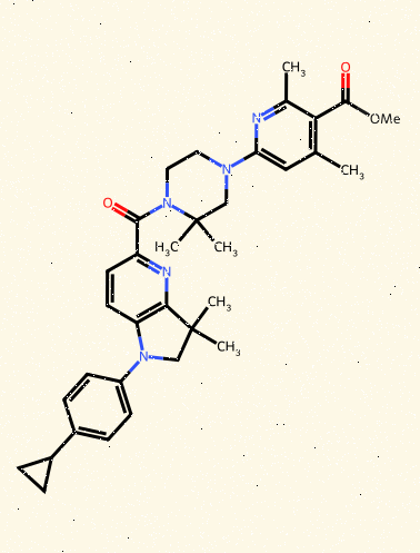 COC(=O)c1c(C)cc(N2CCN(C(=O)c3ccc4c(n3)C(C)(C)CN4c3ccc(C4CC4)cc3)C(C)(C)C2)nc1C